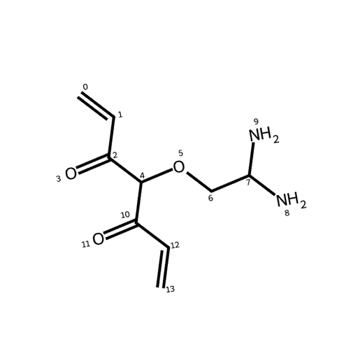 C=CC(=O)C(OCC(N)N)C(=O)C=C